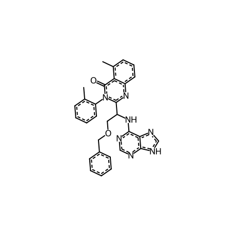 Cc1ccccc1-n1c(C(COCc2ccccc2)Nc2ncnc3[nH]cnc23)nc2cccc(C)c2c1=O